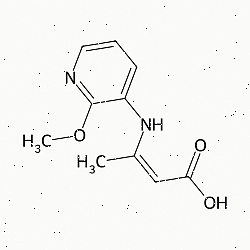 COc1ncccc1N/C(C)=C\C(=O)O